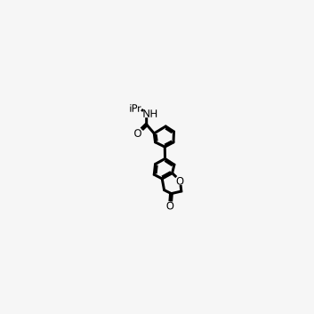 CC(C)NC(=O)c1cccc(-c2ccc3c(c2)OCC(=O)C3)c1